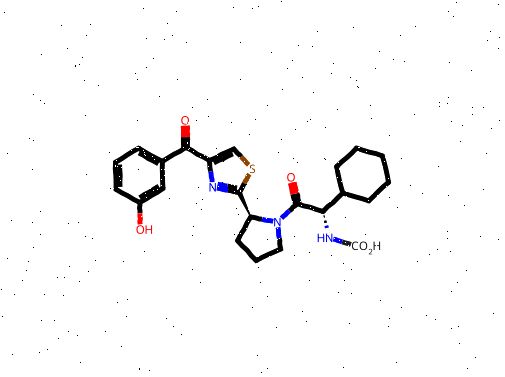 O=C(O)N[C@H](C(=O)N1CCC[C@H]1c1nc(C(=O)c2cccc(O)c2)cs1)C1CCCCC1